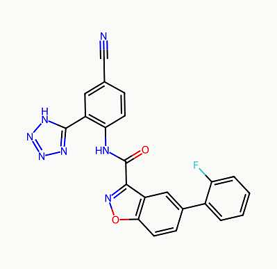 N#Cc1ccc(NC(=O)c2noc3ccc(-c4ccccc4F)cc23)c(-c2nnn[nH]2)c1